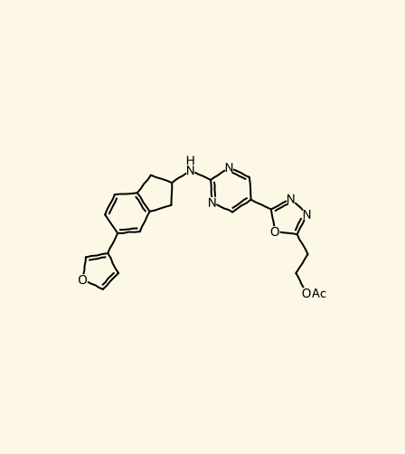 CC(=O)OCCc1nnc(-c2cnc(NC3Cc4ccc(-c5ccoc5)cc4C3)nc2)o1